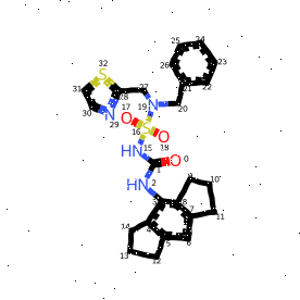 O=C(Nc1c2c(cc3c1CCC3)CCC2)NS(=O)(=O)N(Cc1ccccc1)Cc1nccs1